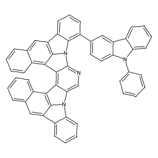 c1ccc(-n2c3ccccc3c3cc(-c4cccc5c6cc7ccccc7c7c8c9c%10c%11ccccc%11cc%11c%12ccccc%12n(c9cnc8n(c45)c67)c%11%10)ccc32)cc1